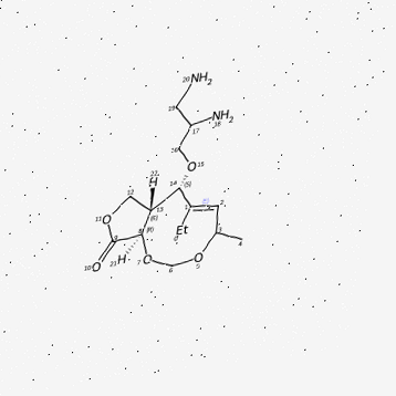 CC/C1=C\C(C)OCO[C@H]2C(=O)OC[C@@H]2[C@@H]1OCC(N)CN